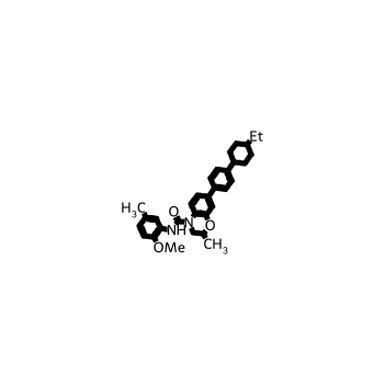 CCC1CCC(c2ccc(-c3ccc4c(c3)OC(C)CN4C(=O)Nc3cc(C)ccc3OC)cc2)CC1